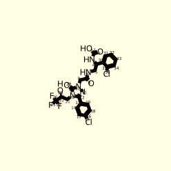 O=C(O)NC(CNC(=O)Cn1nc(-c2ccc(Cl)cc2)n(C[C@H](O)C(F)(F)F)c1=O)c1ccccc1Cl